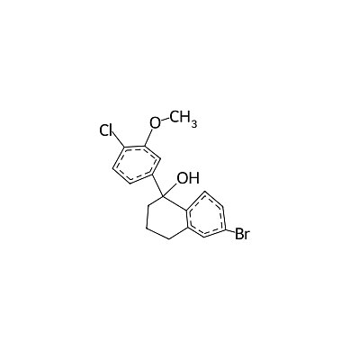 COc1cc(C2(O)CCCc3cc(Br)ccc32)ccc1Cl